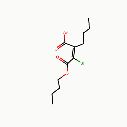 CCCCOC(=O)C(Br)=C(CCCC)C(=O)O